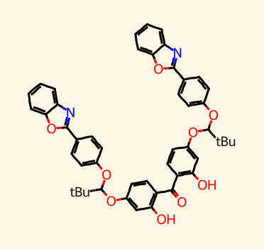 CC(C)(C)C(Oc1ccc(-c2nc3ccccc3o2)cc1)Oc1ccc(C(=O)c2ccc(OC(Oc3ccc(-c4nc5ccccc5o4)cc3)C(C)(C)C)cc2O)c(O)c1